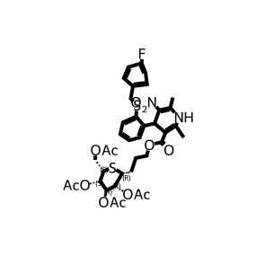 CC(=O)OC[C@@H]1S[C@H](CCCOC(=O)C2=C(C)NC(C)=C([N+](=O)[O-])C2c2ccccc2SCc2ccc(F)cc2)[C@H](OC(C)=O)[C@@H](OC(C)=O)[C@@H]1OC(C)=O